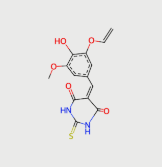 C=COc1cc(C=C2C(=O)NC(=S)NC2=O)cc(OC)c1O